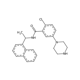 CC(NC(=O)c1cc(N2CCNCC2)ccc1Cl)c1cccc2ccccc12